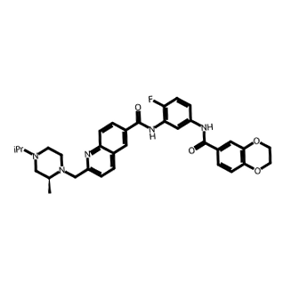 CC(C)N1CCN(Cc2ccc3cc(C(=O)Nc4cc(NC(=O)c5ccc6c(c5)OCCO6)ccc4F)ccc3n2)[C@@H](C)C1